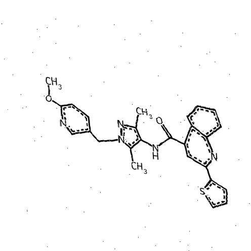 COc1ccc(Cn2nc(C)c(NC(=O)c3cc(-c4cccs4)nc4ccccc34)c2C)cn1